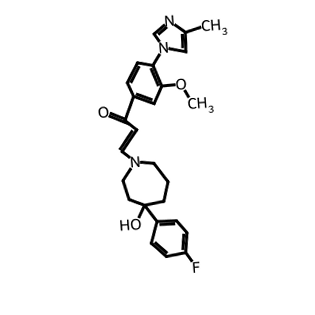 COc1cc(C(=O)C=CN2CCCC(O)(c3ccc(F)cc3)CC2)ccc1-n1cnc(C)c1